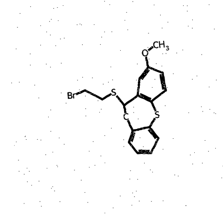 COc1ccc2c(c1)C(SCCBr)Cc1ccccc1S2